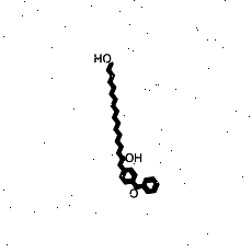 O=C(c1ccccc1)c1ccc(CC(O)CCCCCCCCCCCCCCCCO)cc1